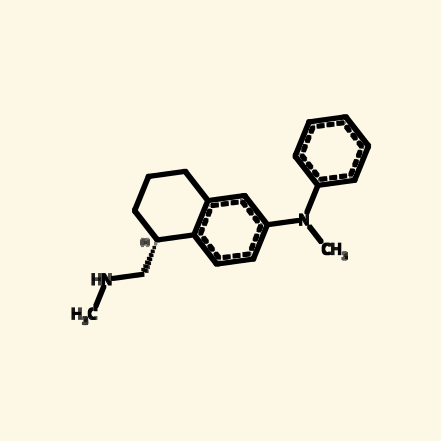 CNC[C@@H]1CCCc2cc(N(C)c3ccccc3)ccc21